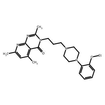 CCOc1ccccc1N1CCN(CCCn2c(C)nc3nc(C)cc(C)c3c2=O)CC1